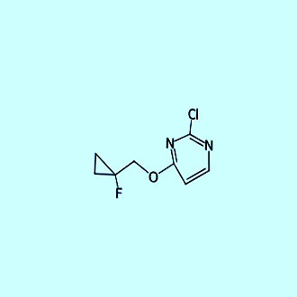 FC1(COc2ccnc(Cl)n2)CC1